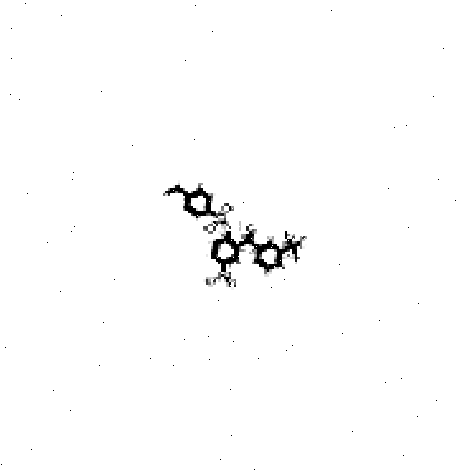 CCc1ccc(S(=O)(=O)Nc2ccc([N+](=O)[O-])cc2C(=O)c2cccc(C(F)(F)F)c2)cc1